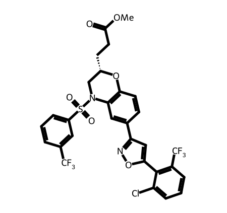 COC(=O)CC[C@H]1CN(S(=O)(=O)c2cccc(C(F)(F)F)c2)c2cc(-c3cc(-c4c(Cl)cccc4C(F)(F)F)on3)ccc2O1